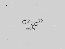 COC(=O)c1cn(Cc2ccc3ccccc3c2)c2cc(-c3nccs3)ccc12